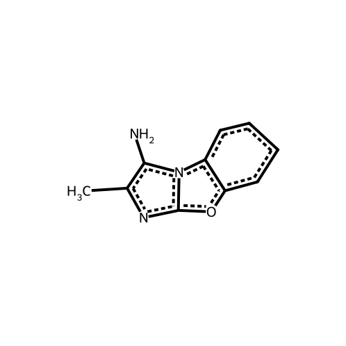 Cc1nc2oc3ccccc3n2c1N